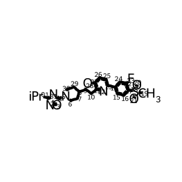 CC(C)c1noc(N2CCC(C3Cc4nc(-c5ccc(S(C)(=O)=O)c(F)c5)ccc4O3)CC2)n1